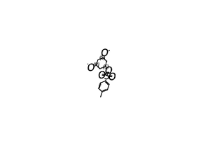 CO[C@@H]1C[C@H](OC)C[C@H](OS(=O)(=O)c2ccc(C)cc2)C1